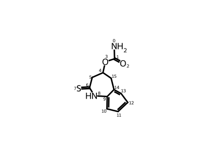 NC(=O)OC1CC(=S)Nc2ccccc2C1